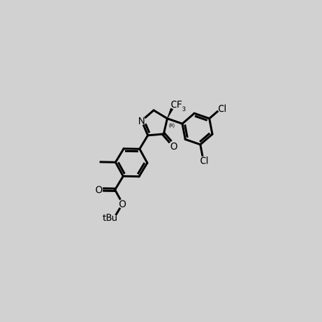 Cc1cc(C2=NC[C@@](c3cc(Cl)cc(Cl)c3)(C(F)(F)F)C2=O)ccc1C(=O)OC(C)(C)C